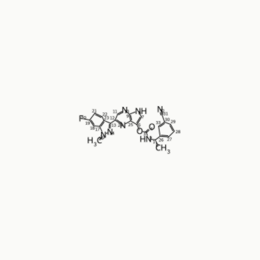 C[C@@H](NC(=O)Oc1c[nH]c2ncc(-c3nn(C)c4cc(F)ccc34)nc12)c1cccc(C#N)c1